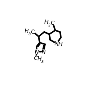 CC(CC1CNCCC1C)c1cnn(C)c1